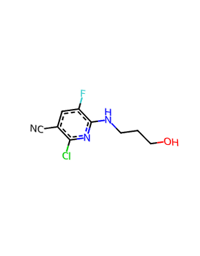 N#Cc1cc(F)c(NCCCO)nc1Cl